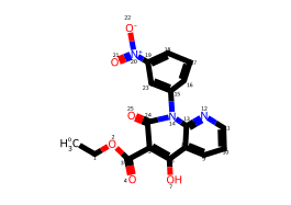 CCOC(=O)c1c(O)c2cccnc2n(-c2cccc([N+](=O)[O-])c2)c1=O